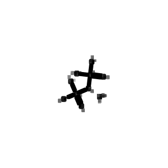 O=P([O-])([O-])OP(=O)([O-])[O-].[U+4]